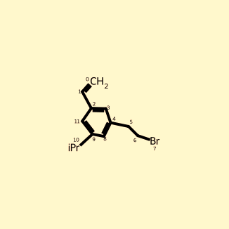 C=Cc1cc(CCBr)cc(C(C)C)c1